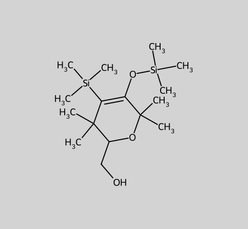 CC1(C)OC(CO)C(C)(C)C([Si](C)(C)C)=C1O[Si](C)(C)C